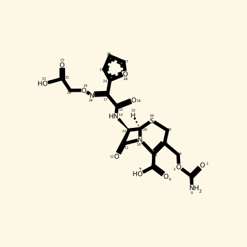 NC(=O)OCC1=C(C(=O)O)N2C(=O)[C@@H](NC(=O)C(=NOCC(=O)O)c3ccco3)[C@H]2SC1